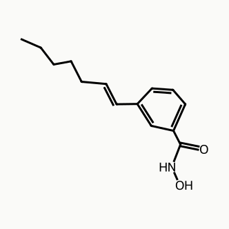 CCCCCC=Cc1cccc(C(=O)NO)c1